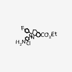 CCOC(=O)c1ccc2c(c1)CCC1C2=NN(c2ccc(N)c(Cl)c2)C1c1ccc(F)cc1